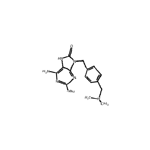 CCCCc1nc(N)c2[nH]c(=O)n(Cc3ccc(CN(C)C)cc3)c2n1